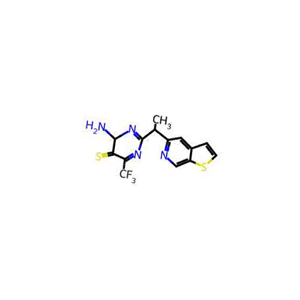 CC(C1=NC(N)C(=S)C(C(F)(F)F)=N1)c1cc2ccsc2cn1